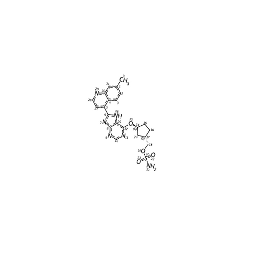 Cc1ccc2c(-c3nc4ncnc(O[C@H]5CC[C@H](COS(N)(=O)=O)C5)c4[nH]3)ccnc2c1